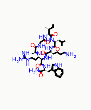 CC[C@@H](C)[C@@H](NC(=O)CNC(=O)[C@H](C)N)C(=O)N[C@H](CC(C)C)C(=O)N[C@H](CCCCN)C(=O)N[C@H](CCCNC(=N)N)C(=O)N[C@H](Cc1c[nH]c2ccccc12)C(N)=O